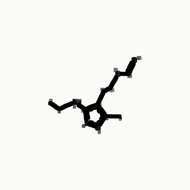 CCNc1noc(C)c1CCOC=O